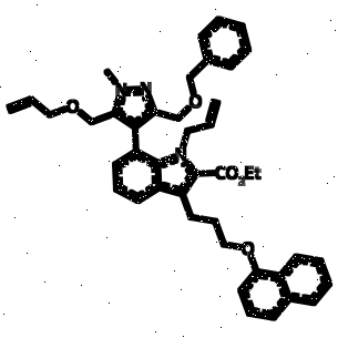 C=CCOCc1c(-c2cccc3c(CCCOc4cccc5ccccc45)c(C(=O)OCC)n(CC=C)c23)c(COCc2ccccc2)nn1C